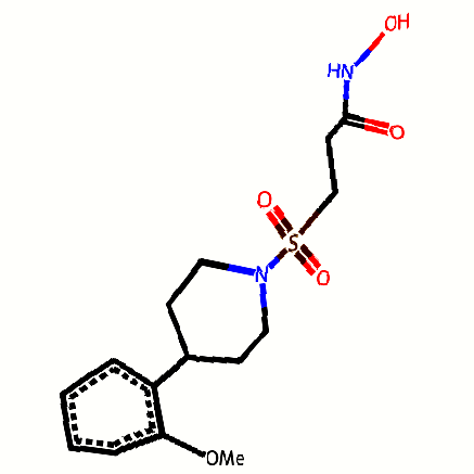 COc1ccccc1C1CCN(S(=O)(=O)CCC(=O)NO)CC1